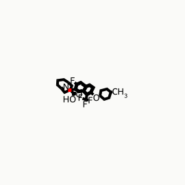 CC1CCC(Oc2ccc3cc(F)c(CN4C5CCCC4CC(C(=O)O)C5)cc3c2C(F)(F)F)CC1